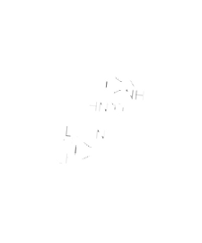 CCOc1cc(CN2CCC(NC(=O)c3cccc4cc[nH]c34)CC2)ccc1Cl